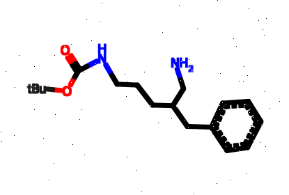 CC(C)(C)OC(=O)NCCCC(CN)Cc1ccccc1